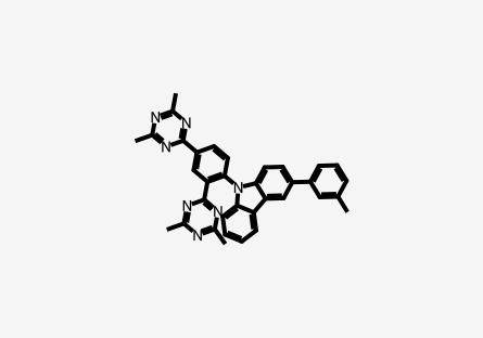 Cc1cccc(-c2ccc3c(c2)c2ccccc2n3-c2ccc(-c3nc(C)nc(C)n3)cc2-c2nc(C)nc(C)n2)c1